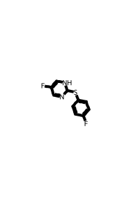 FC1=CN[C](Sc2ccc(F)cc2)N=C1